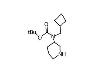 CC(C)(C)OC(=O)N(CC1CCC1)C1CCCNC1